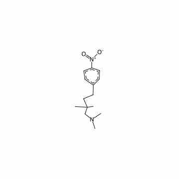 CN(C)CC(C)(C)CCc1ccc([N+](=O)[O-])cc1